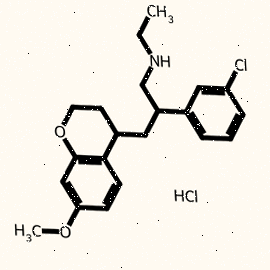 CCNCC(CC1CCOc2cc(OC)ccc21)c1cccc(Cl)c1.Cl